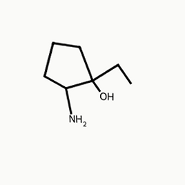 CCC1(O)CCCC1N